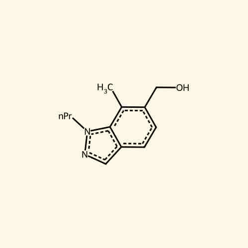 CCCn1ncc2ccc(CO)c(C)c21